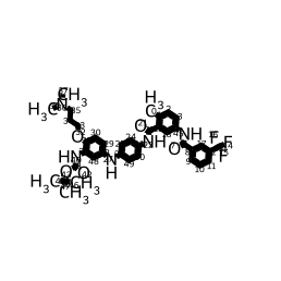 Cc1ccc(NC(=O)c2cccc(C(F)(F)F)c2)cc1C(=O)Nc1ccc(Nc2ccc(OCCCN(C)C)c(NC(=O)OC(C)(C)C)c2)cc1